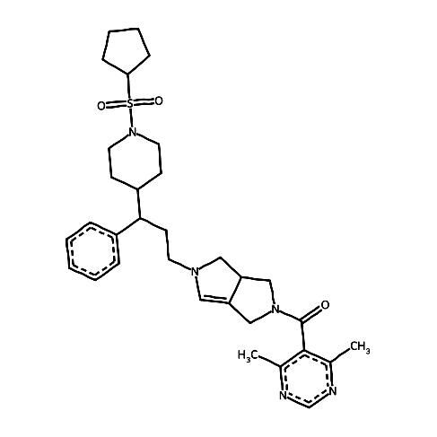 Cc1ncnc(C)c1C(=O)N1CC2=CN(CCC(c3ccccc3)C3CCN(S(=O)(=O)C4CCCC4)CC3)CC2C1